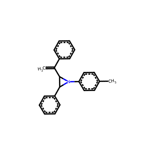 C=C(c1ccccc1)C1C(c2ccccc2)N1c1ccc(C)cc1